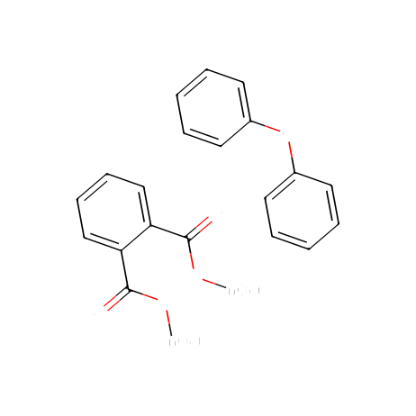 CCCCCCCCOC(=O)c1ccccc1C(=O)OCCCCCCCC.c1ccc(Oc2ccccc2)cc1